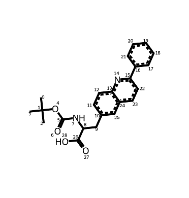 CC(C)(C)OC(=O)NC(Cc1ccc2nc(-c3ccccc3)ccc2c1)C(=O)O